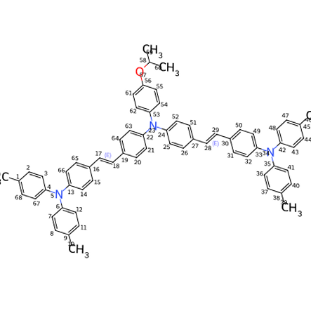 Cc1ccc(N(c2ccc(C)cc2)c2ccc(/C=C/c3ccc(N(c4ccc(/C=C/c5ccc(N(c6ccc(C)cc6)c6ccc(C)cc6)cc5)cc4)c4ccc(OC(C)C)cc4)cc3)cc2)cc1